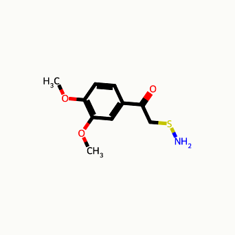 COc1ccc(C(=O)CSN)cc1OC